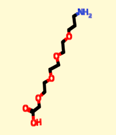 NCCCOCCOCCOCCOCC(=O)O